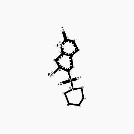 O=c1[c]cc2cc(S(=O)(=O)N3CCCCC3)c(C(F)(F)F)cc2[nH]1